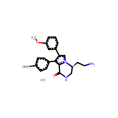 Cl.NCC[C@H]1CNC(=O)c2c(-c3ccc(C=O)cc3)c(-c3cccc(OC(F)(F)F)c3)cn21